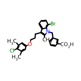 Cc1cc(OCCCc2c(C)n(Cc3cccc(C(=O)O)c3)c3c(Br)cccc23)cc(C)c1Cl